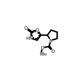 CC(C)(C)OC(=O)N1CCCC1c1c[nH]c(=O)o1